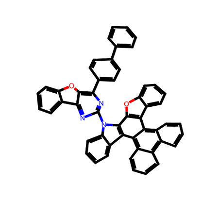 c1ccc(-c2ccc(-c3nc(-n4c5ccccc5c5c6c7ccccc7c7ccccc7c6c6c7ccccc7oc6c54)nc4c3oc3ccccc34)cc2)cc1